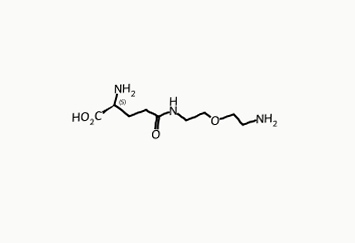 NCCOCCNC(=O)CC[C@H](N)C(=O)O